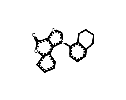 O=c1oc2ccccc2c2c1ncn2-c1cccc2c1CCCC2